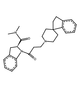 CN(C)C(=O)[C@@H]1Cc2ccccc2N1C(=O)CCN1CCC2(CCc3ccccc32)CC1